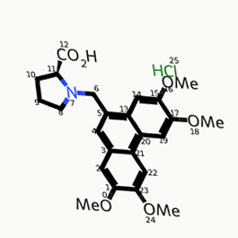 COc1cc2cc(CN3CCC[C@H]3C(=O)O)c3cc(OC)c(OC)cc3c2cc1OC.Cl